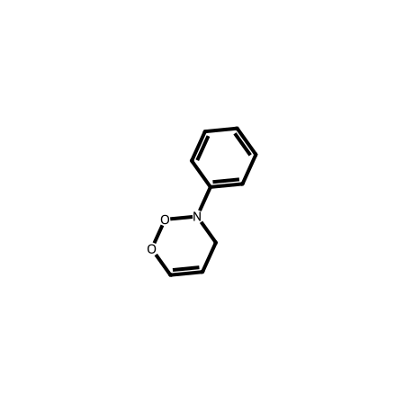 C1=COON(c2ccccc2)C1